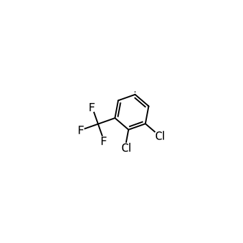 FC(F)(F)c1c[c]cc(Cl)c1Cl